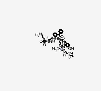 CCC(=O)NCCNC(=O)/N=C(/N)NCCC[C@@H](NC(=O)C(c1ccccc1)c1cccc(NCCCNc2c(NCCN)c(=O)c2=O)c1)C(=O)NCc1ccc(O)cc1